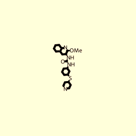 COc1nc2ccccc2cc1NC(=O)Nc1cccc(Sc2ccncc2)c1